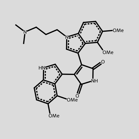 COc1ccc2[nH]cc(C3=C(c4cn(CCCN(C)C)c5ccc(OC)c(OC)c45)C(=O)NC3=O)c2c1OC